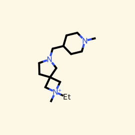 CC[N+]1(C)CC2(CCN(CC3CCN(C)CC3)C2)C1